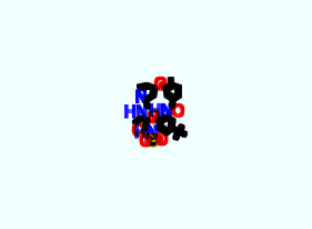 COc1c(NC(=O)c2ccc(C)c(Oc3ccnc(CN[C@@H]4CCOC4)c3)c2)cc(C(C)(C)C)cc1NS(C)(=O)=O